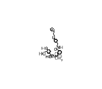 CC(C)(Cc1cccc(C(=O)NCCc2ccc(OCCCN3CCCC3)cc2)c1)NC[C@@H](O)c1ccc(O)c(CO)c1